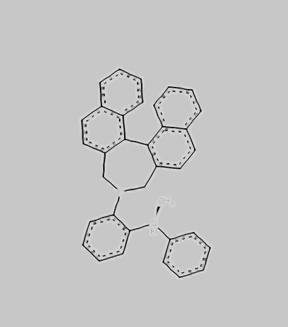 C[Si@@H](c1ccccc1)c1ccccc1P1Cc2ccc3ccccc3c2-c2c(ccc3ccccc23)C1